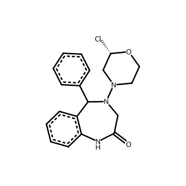 O=C1CN(N2CCO[C@@H](Cl)C2)C(c2ccccc2)c2ccccc2N1